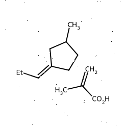 C=C(C)C(=O)O.CCC=C1CCC(C)C1